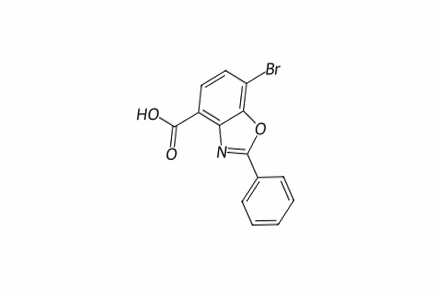 O=C(O)c1ccc(Br)c2oc(-c3ccccc3)nc12